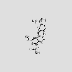 CN(C)c1ccc2nc3ccc(N(CC(O)Cl)CC(O)CCl)cc3nc2c1